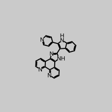 c1ccc2c(-c3nc4c5cccnc5c5ncccc5c4[nH]3)c(-c3ccncc3)[nH]c2c1